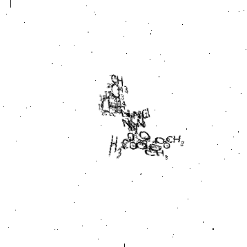 CC(=O)OC[C@H]1O[C@@H](n2cnc3c(N4CC(c5ccccc5)(c5ccc(C)cc5)C4)nc(Cl)nc32)C(OC(C)=O)C1OC(C)=O